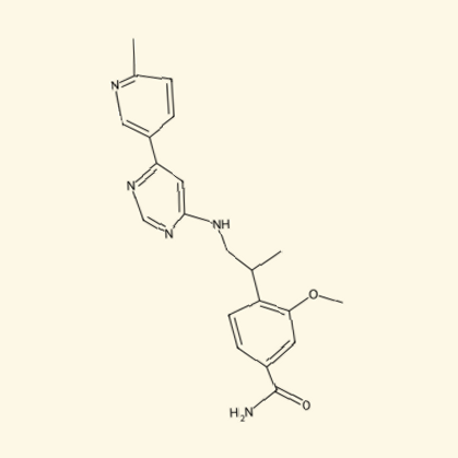 COc1cc(C(N)=O)ccc1C(C)CNc1cc(-c2ccc(C)nc2)ncn1